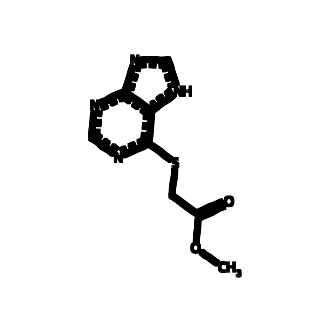 COC(=O)CSc1ncnc2nc[nH]c12